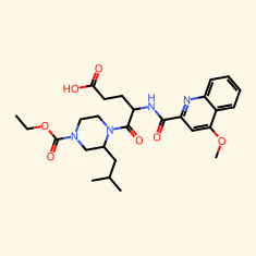 CCOC(=O)N1CCN(C(=O)C(CCC(=O)O)NC(=O)c2cc(OC)c3ccccc3n2)C(CC(C)C)C1